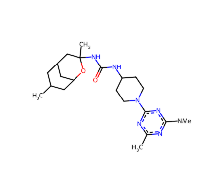 CNc1nc(C)nc(N2CCC(NC(=O)NC3(C)CC4CC(C)CC(C4)O3)CC2)n1